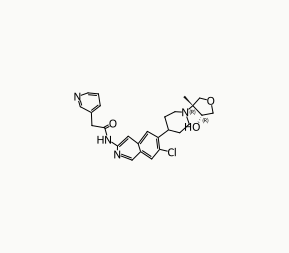 C[C@@]1(N2CCC(c3cc4cc(NC(=O)Cc5cccnc5)ncc4cc3Cl)CC2)COC[C@@H]1O